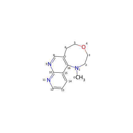 CN1CCOCCc2cnc3ncccc3c21